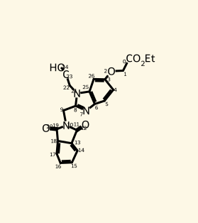 CCOC(=O)COc1ccc2nc(CN3C(=O)c4ccccc4C3=O)n(CCO)c2c1